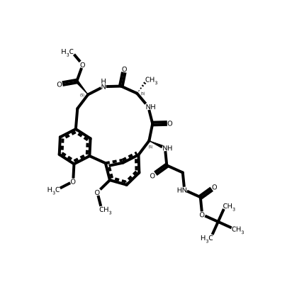 COC(=O)[C@@H]1Cc2ccc(OC)c(c2)-c2cc(ccc2OC)[C@H](NC(=O)CNC(=O)OC(C)(C)C)C(=O)N[C@@H](C)C(=O)N1